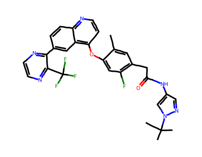 Cc1cc(CC(=O)Nc2cnn(C(C)(C)C)c2)c(F)cc1Oc1ccnc2ccc(-c3nccnc3C(F)(F)F)cc12